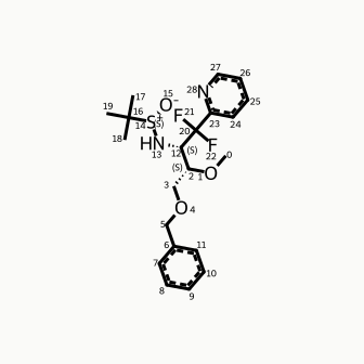 CO[C@H](COCc1ccccc1)[C@H](N[S@+]([O-])C(C)(C)C)C(F)(F)c1ccccn1